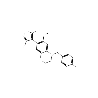 COc1cc2c(cc1-c1c(C)noc1C)OCCN2Cc1ccc(Cl)cc1